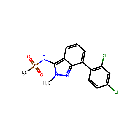 Cn1nc2c(-c3ccc(Cl)cc3Cl)cccc2c1NS(C)(=O)=O